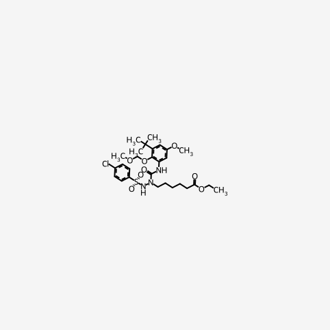 CCOC(=O)CCCCCN(NS(=O)(=O)c1ccc(Cl)cc1)C(=O)Nc1cc(OC)cc(C(C)(C)C)c1OCOC